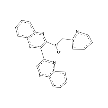 [O-][S+](Cc1ccccn1)c1nc2ccccc2nc1-c1cnc2ccccc2n1